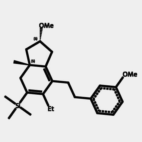 CCC1=C([Si](C)(C)C)C[C@]2(C)C[C@H](OC)CC2=C1CCc1cccc(OC)c1